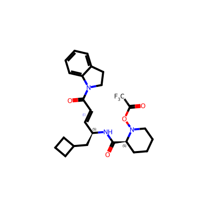 O=C(N[C@H](/C=C/C(=O)N1CCc2ccccc21)CC1CCC1)[C@@H]1CCCCN1OC(=O)C(F)(F)F